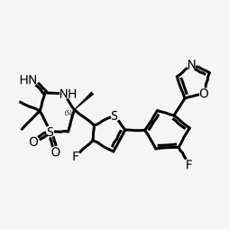 CC1(C)C(=N)N[C@](C)(C2SC(c3cc(F)cc(-c4cnco4)c3)=CC2F)CS1(=O)=O